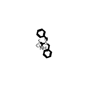 NC(=S)[SH](Cc1ccccc1)Cc1ccccc1.[Cu]